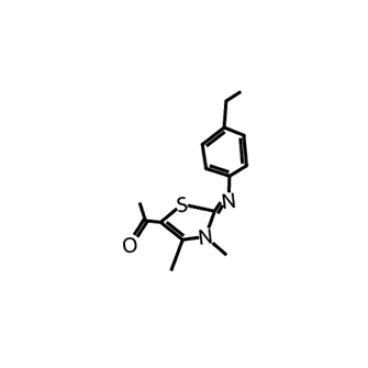 CCc1ccc(/N=c2\sc(C(C)=O)c(C)n2C)cc1